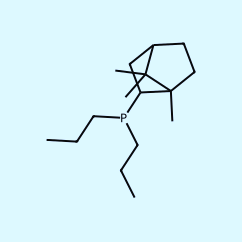 CCCP(CCC)C1CC2CCC1(C)C2(C)C